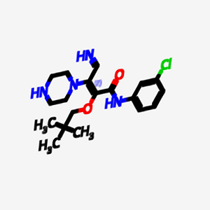 CC(C)(C)CO/C(C(=O)Nc1cccc(Cl)c1)=C(/C=N)N1CCNCC1